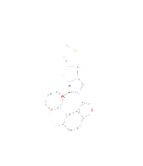 CS(=O)(=O)N[C@@H]1Cn2c(cn(-c3noc4ccc(F)c(-c5c(F)cccc5F)c34)c2=O)C1(F)F